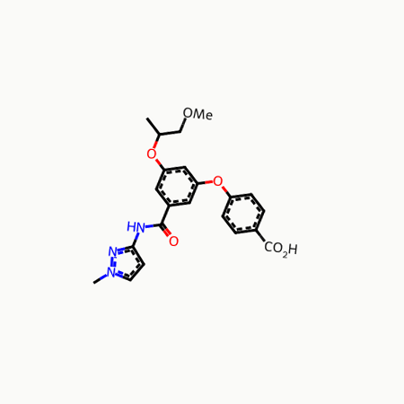 COCC(C)Oc1cc(Oc2ccc(C(=O)O)cc2)cc(C(=O)Nc2ccn(C)n2)c1